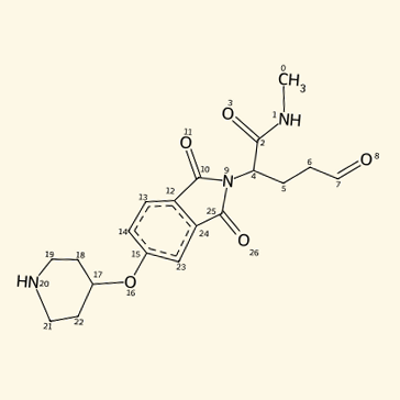 CNC(=O)C(CCC=O)N1C(=O)c2ccc(OC3CCNCC3)cc2C1=O